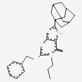 CCCn1c(OCc2ccccc2)nc2nc(C34CC5CC(CC(C5)C3)C4)[nH]c2c1=O